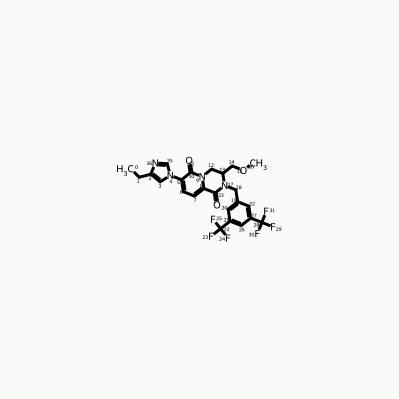 CCc1cn(-c2ccc3n(c2=O)CC(COC)N(Cc2cc(C(F)(F)F)cc(C(F)(F)F)c2)C3=O)cn1